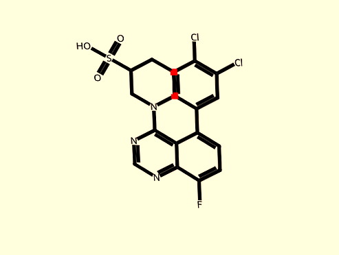 O=S(=O)(O)C1CCCN(c2ncnc3c(F)ccc(-c4ccc(Cl)c(Cl)c4)c23)C1